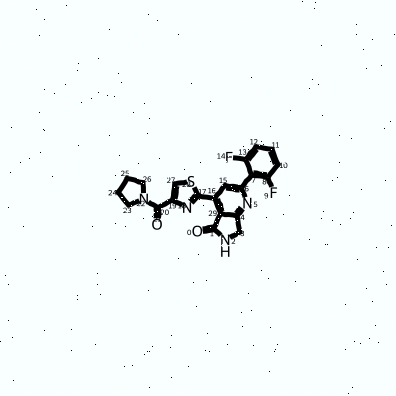 O=C1NCc2nc(-c3c(F)cccc3F)cc(-c3nc(C(=O)N4CCCC4)cs3)c21